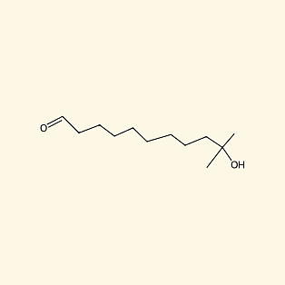 CC(C)(O)CCCCCCCCC=O